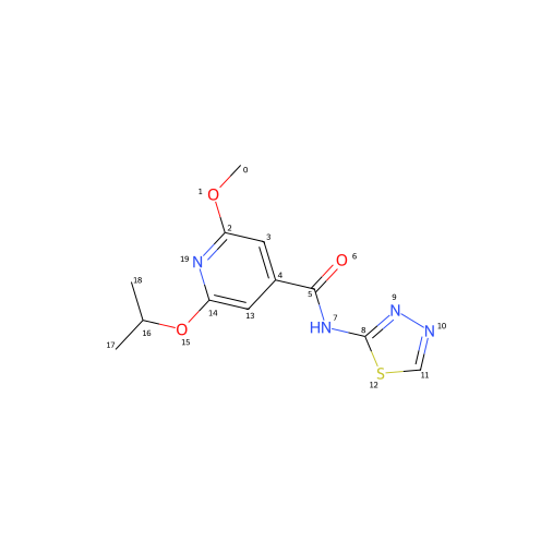 COc1cc(C(=O)Nc2nncs2)cc(OC(C)C)n1